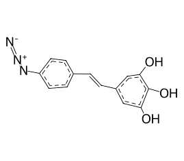 [N-]=[N+]=Nc1ccc(C=Cc2cc(O)c(O)c(O)c2)cc1